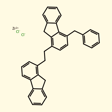 [Cl-].[Cl-].[Zr+2].c1ccc(Cc2ccc(CCc3cccc4c3Cc3ccccc3-4)c3c2-c2ccccc2C3)cc1